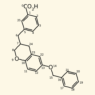 O=C(O)c1cccc(CC2COc3ccc(OCc4ccccc4)cc3C2)c1